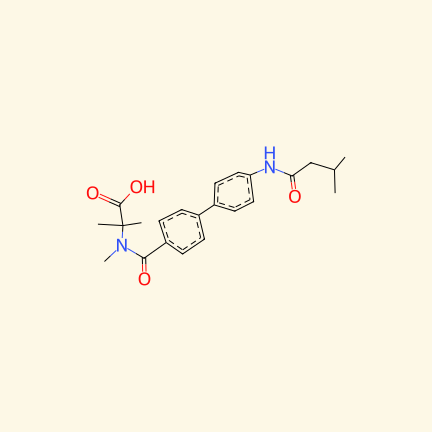 CC(C)CC(=O)Nc1ccc(-c2ccc(C(=O)N(C)C(C)(C)C(=O)O)cc2)cc1